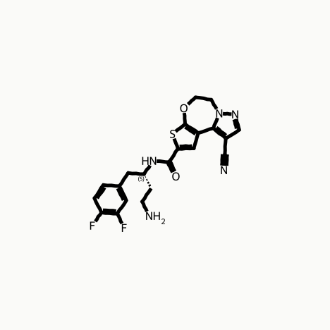 N#Cc1cnn2c1-c1cc(C(=O)N[C@H](CCN)Cc3ccc(F)c(F)c3)sc1OCC2